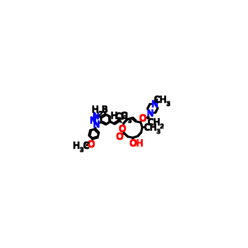 Bc1cc(/C=C(\C)[C@H]2OC(=O)CC(O)CCC(C)[C@@H](OC(=C)N3CCN(C)CC3)/C=C/C2C)cc2c1nnn2-c1ccc(OC)cc1